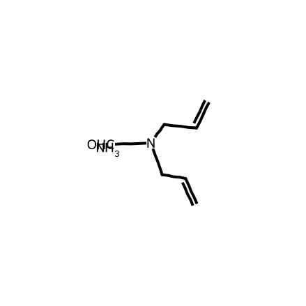 C=CCN(C=O)CC=C.N